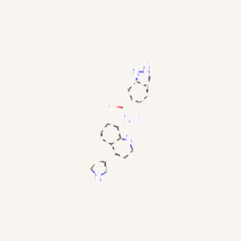 Cn1cc2ccc(C(=O)Nc3cccc4c(-c5cncs5)ccnc34)cc2n1